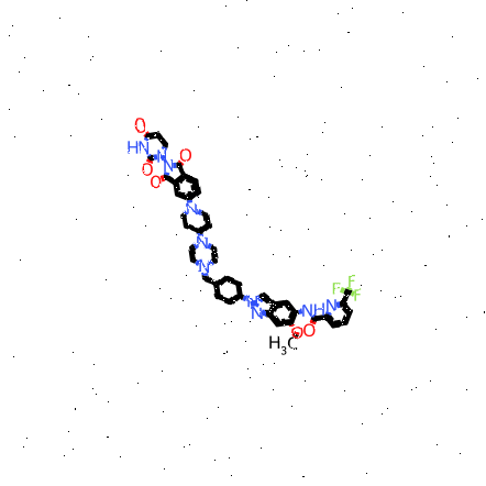 COc1cc2nn(C3CCC(CN4CCN(C5CCN(c6ccc7c(c6)C(=O)N(N6CCC(=O)NC6=O)C7=O)CC5)CC4)CC3)cc2cc1NC(=O)c1cccc(C(F)(F)F)n1